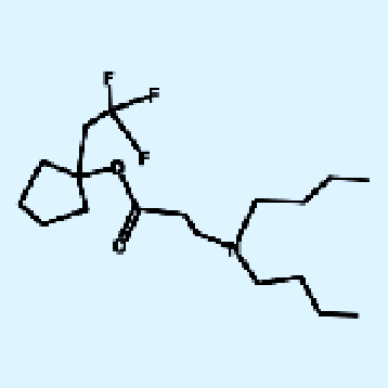 CCCCN(CCCC)CCC(=O)OC1(CC(F)(F)F)CCCC1